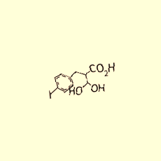 O=C(O)C(Cc1ccc(I)cc1)C(O)O